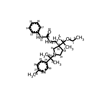 CCOC(C)(C)[C@]1(CNC(=O)Nc2ccccc2)CCN(C(C)(C)c2ccc(C)nc2)C1